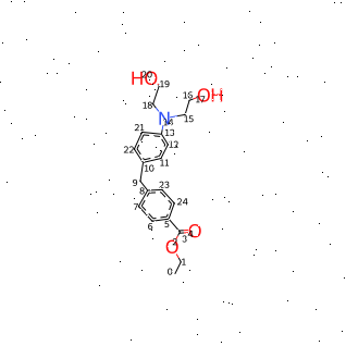 CCOC(=O)c1ccc(Cc2ccc(N(CCO)CCO)cc2)cc1